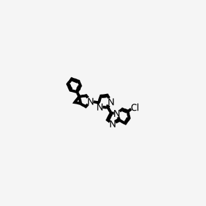 Clc1ccc2ncc(-c3nccc(N4CC5CC5(c5ccccc5)C4)n3)n2c1